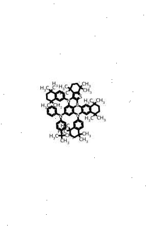 CC(C)(C)c1ccc(N(c2ccccc2)c2cc3c4c(c2)N(c2ccc5c(c2)C(C)(C)CCC5(C)C)c2c(sc5c2C(C)(C)CCC5(C)C)B4c2cc4c(cc2N3c2ccc3c(c2)C(C)(C)CCC3(C)C)C(C)(C)CCC4(C)C)cc1